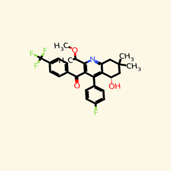 COC(C)c1nc2c(c(-c3ccc(F)cc3)c1C(=O)c1ccc(C(F)(F)F)cc1)[C@@H](O)CC(C)(C)C2